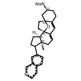 CN[C@H]1CCC2=CC3=CC[C@]4(C)C(c5ccc6ccncc6c5)CC[C@H]4[C@@]34CC[C@]2(C1)O4